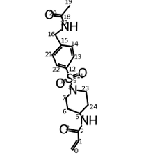 C=CC(=O)NC1CCN(S(=O)(=O)c2ccc(CNC(C)=O)cc2)CC1